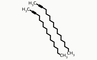 CC#CCCCCCCCCCCCCC.CC#CCCCCCCCCCCCCCC